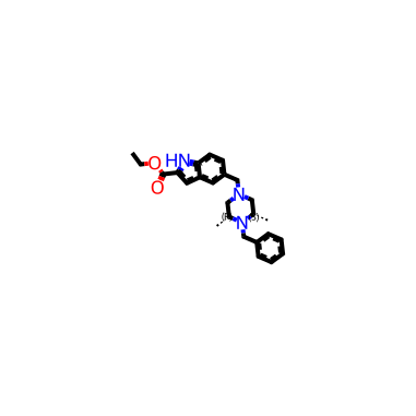 CCOC(=O)c1cc2cc(CN3C[C@@H](C)N(Cc4ccccc4)[C@@H](C)C3)ccc2[nH]1